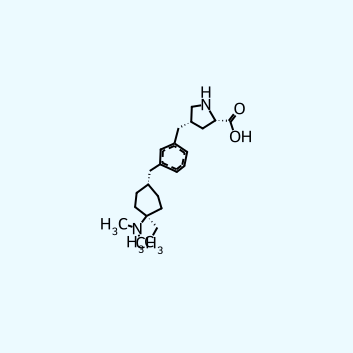 CC[C@]1(N(C)C)CC[C@H](Cc2cccc(C[C@@H]3CN[C@H](C(=O)O)C3)c2)CC1